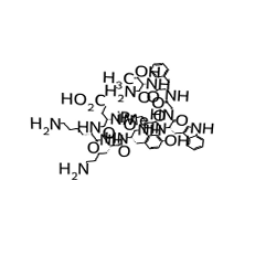 CN[C@@H](CCC(=O)O)C(=O)N[C@@H](CCCCN)C(=O)N[C@@H](CCCCN)C(=O)N[C@@H](Cc1ccc(O)cc1)C(=O)N[C@@H](CC(C)C)C(=O)N[C@@H](Cc1c[nH]c2ccccc12)C(=O)NCC(=O)N[C@@H](Cc1ccccc1)C(=O)N[C@H](C(N)=O)[C@@H](C)O